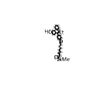 CC/C(=C(/c1ccc(O)cc1)c1ccc(OCCCCCCSCC(=O)NC)cc1)c1ccccc1